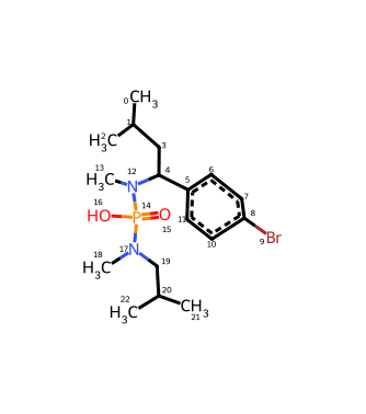 CC(C)CC(c1ccc(Br)cc1)N(C)P(=O)(O)N(C)CC(C)C